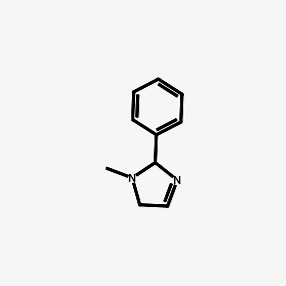 CN1CC=NC1c1ccccc1